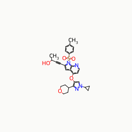 Cc1ccc(S(=O)(=O)n2c(C#CC(C)O)cc3c(Oc4cn(C5CC5)nc4C4CCOCC4)ccnc32)cc1